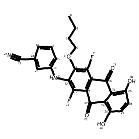 CCCCOc1c(F)c2c(c(F)c1Nc1cccc(C#N)c1)C(=O)c1c(O)ccc(O)c1C2=O